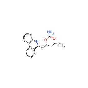 CCCC(Cc1nc2ccccc2c2ccccc12)OC(N)=O